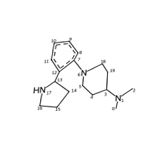 CN(C)C1CCN(c2ccccc2C2CCCN2)CC1